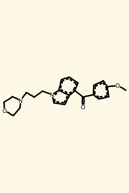 COc1ccc(C(=O)c2cccc3c2ccn3CCCN2CCOCC2)cc1